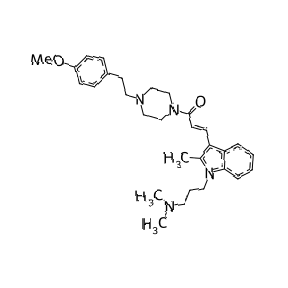 COc1ccc(CCN2CCN(C(=O)/C=C/c3c(C)n(CCCN(C)C)c4ccccc34)CC2)cc1